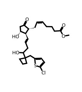 COC(=O)CCC/C=C\C[C@H]1C(=O)C[C@@H](O)[C@@H]1/C=C/CC(O)C1(Cc2ccc(Cl)s2)CCC1